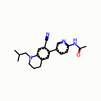 CC(=O)Nc1ccc(-c2cc3c(cc2C#N)N(CC(C)C)CCC3)cn1